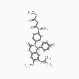 COC(=O)CC(=O)N(C)C1CCC(N2C(=O)Cc3cc(OC)c(OC(C)C)cc3C2c2ccc(Cl)cc2)CC1